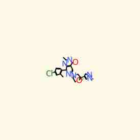 Cc1cc(Cl)ccc1-c1nc(N2CCO[C@H](c3cnn(C)c3)C2)cc2c(=O)n(C)c(C)nc12